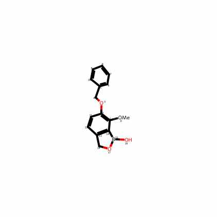 COc1c(OCc2ccccc2)ccc2c1B(O)OC2